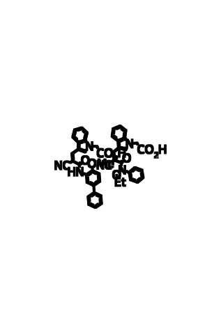 CCON(C(=O)C(C#N)=Cc1cn(CC(=O)O)c2ccccc12)c1ccccc1.COc1ccc(-c2ccccc2)cc1NC(=O)C(C#N)=Cc1cn(CC(=O)O)c2ccccc12